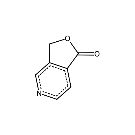 O=C1OCc2cnccc21